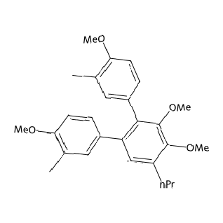 CCCc1[c]c(-c2ccc(OC)c(C)c2)c(-c2ccc(OC)c(C)c2)c(OC)c1OC